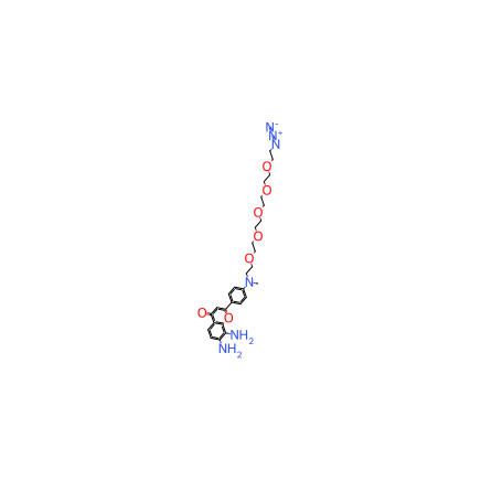 CN(CCOCCOCCOCCOCCOCCN=[N+]=[N-])c1ccc(-c2cc(=O)c3ccc(N)c(N)c3o2)cc1